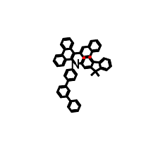 CC1(C)c2ccccc2-c2ccc(N(c3ccc(-c4cccc(-c5ccccc5)c4)cc3)c3c(-c4ccc5ccccc5c4)c4ccccc4c4ccccc34)cc21